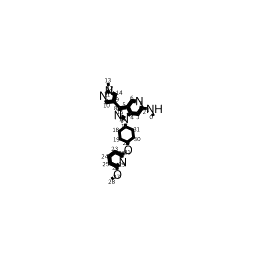 CNc1cc2c(cn1)c(-c1cnn(C)c1)nn2C1CCC(Oc2cccc(OC)n2)CC1